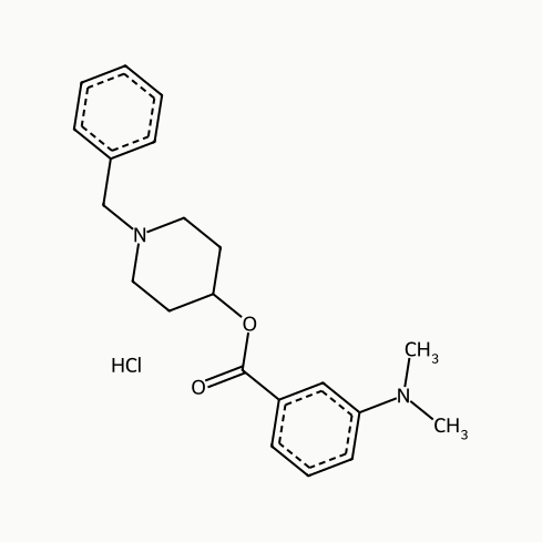 CN(C)c1cccc(C(=O)OC2CCN(Cc3ccccc3)CC2)c1.Cl